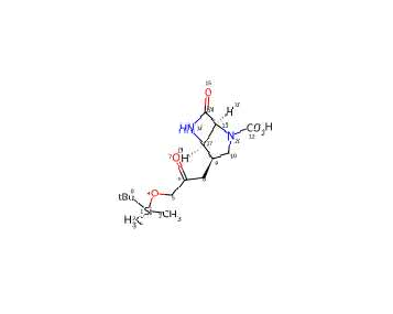 CC(C)(C)[Si](C)(C)OCC(=O)C[C@@H]1CN(C(=O)O)[C@@H]2C(=O)N[C@H]12